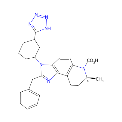 C[C@H]1CCc2c(ccc3c2nc(Cc2ccccc2)n3C2CCCC(c3nnn[nH]3)C2)N1C(=O)O